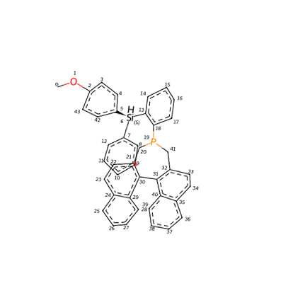 COc1ccc([Si@H](c2ccccc2)c2ccccc2P2Cc3ccc4ccccc4c3-c3c(ccc4ccccc34)C2)cc1